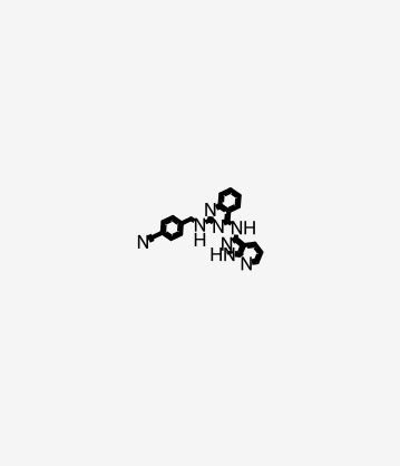 N#Cc1ccc(CNc2nc(Nc3n[nH]c4ncccc34)c3ccccc3n2)cc1